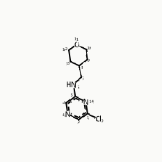 Clc1cncc(NCC2CCOCC2)n1